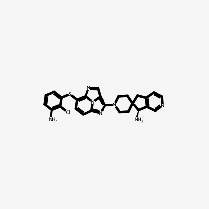 Nc1cccc(Sc2ccc3nc(N4CCC5(CC4)Cc4ccncc4[C@H]5N)c4cnc2n34)c1Cl